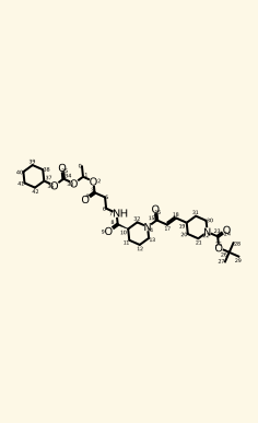 CC(OC(=O)CCNC(=O)[C@@H]1CCCN(C(=O)/C=C/C2CCN(C(=O)OC(C)(C)C)CC2)C1)OC(=O)OC1CCCCC1